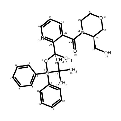 CC(O[Si](c1ccccc1)(c1ccccc1)C(C)(C)C)c1ncccc1C(=O)N1CCOC[C@H]1CO